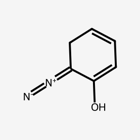 [N-]=[N+]=C1CC=CC=C1O